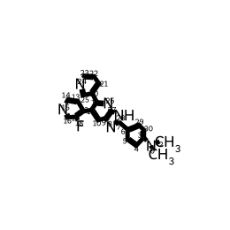 CN(C)c1ccc(-c2nc3cc(-c4ccncc4F)c(-c4cccnc4)nc3[nH]2)cc1